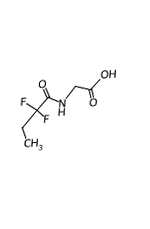 CCC(F)(F)C(=O)NCC(=O)O